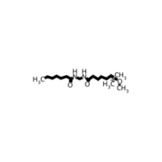 CCCCCCC(=O)NCNC(=O)CCCCC[Si](C)(C)OC